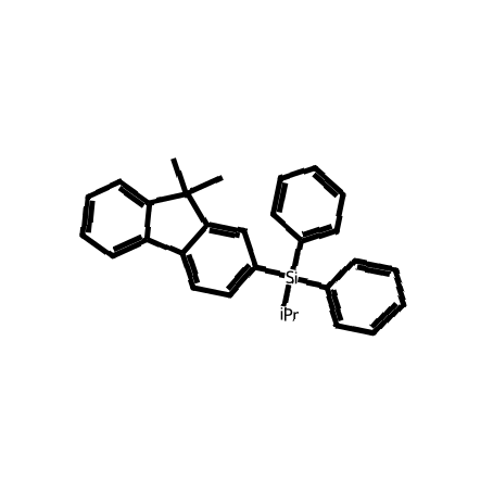 CC(C)[Si](c1ccccc1)(c1ccccc1)c1ccc2c(c1)C(C)(C)c1ccccc1-2